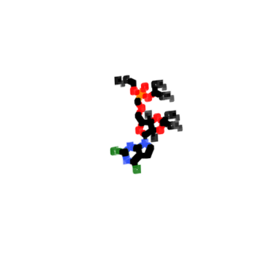 CCOP(=O)(COCC1O[C@@H](n2ccc3c(Cl)nc(Cl)nc32)[C@@H]2OC(C)(C)O[C@H]12)OC(C)C